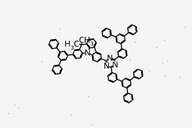 CC1(C)c2cc(-c3cc(-c4ccccc4)cc(-c4ccccc4)c3)ccc2-n2c3ccc(-c4nc(-c5cccc(-c6cc(-c7ccccc7)cc(-c7ccccc7)c6)c5)nc(-c5cccc(-c6cc(-c7ccccc7)cc(-c7ccccc7)c6)c5)n4)cc3c3cccc1c32